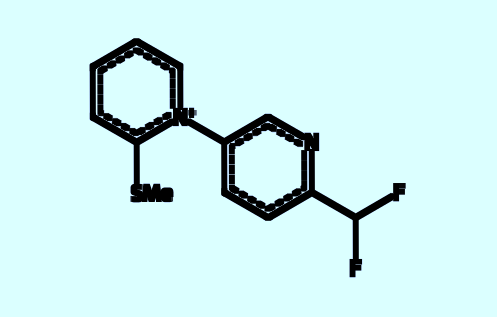 CSc1cccc[n+]1-c1ccc(C(F)F)nc1